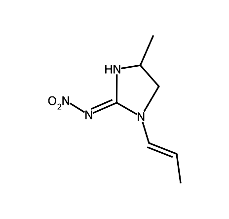 CC=CN1CC(C)NC1=N[N+](=O)[O-]